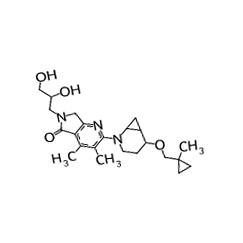 Cc1c(N2CCC(OCC3(C)CC3)C3CC32)nc2c(c1C)C(=O)N(CC(O)CO)C2